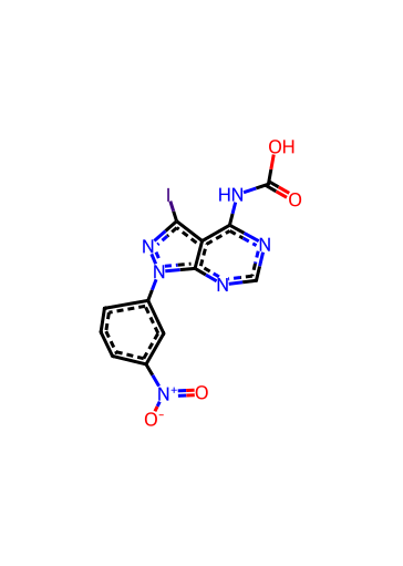 O=C(O)Nc1ncnc2c1c(I)nn2-c1cccc([N+](=O)[O-])c1